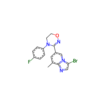 Cc1cc(C2=NOCCN2c2ccc(F)cc2)cn2c(Br)cnc12